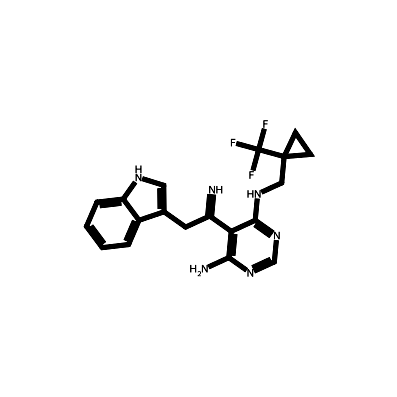 N=C(Cc1c[nH]c2ccccc12)c1c(N)ncnc1NCC1(C(F)(F)F)CC1